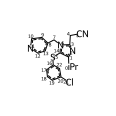 CC(C)c1nc(CC#N)n(Cc2ccncc2)c1Sc1cccc(Cl)c1